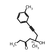 CCC(=O)C[C@](C)(O)CC#Cc1cccc(C)c1